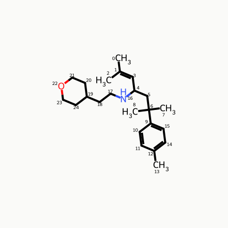 CC(C)=CC(CC(C)(C)c1ccc(C)cc1)NCCC1CCOCC1